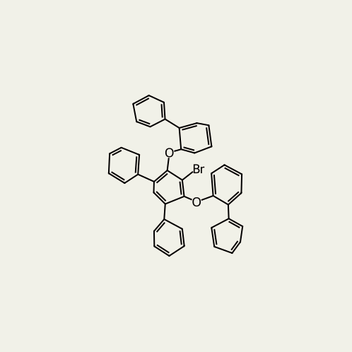 Brc1c(Oc2ccccc2-c2ccccc2)c(-c2ccccc2)cc(-c2ccccc2)c1Oc1ccccc1-c1ccccc1